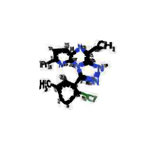 Cc1ccc(Cl)c(-c2nnc3c(C)nc4ccc(C(C)C)nc4n23)c1